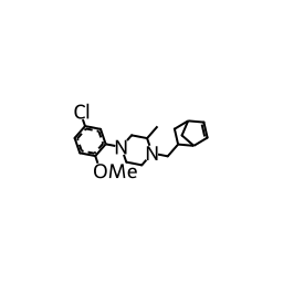 COc1ccc(Cl)cc1N1CCN(CC2CC3C=CC2C3)C(C)C1